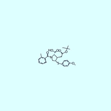 COc1ccc(S[C@H]2CN(C(=O)c3ccccc3C)[C@H](C(=O)O)[C@H]2CC(=O)OC(C)(C)C)cc1